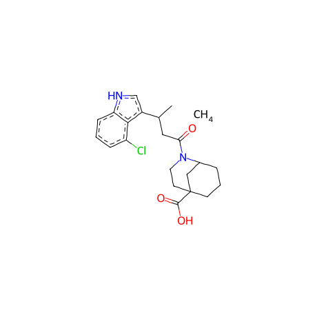 C.CC(CC(=O)N1CCC2(C(=O)O)CCCC1C2)c1c[nH]c2cccc(Cl)c12